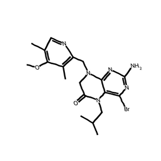 COc1c(C)cnc(CN2CC(=O)N(CC(C)C)c3c(Br)nc(N)nc32)c1C